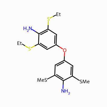 CCSc1cc(Oc2cc(SC)c(N)c(SC)c2)cc(SCC)c1N